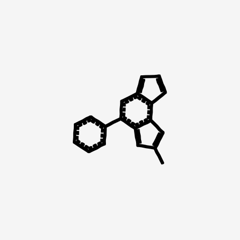 CC1=Cc2c3c(cc(-c4ccccc4)c2=C1)=CC=C3